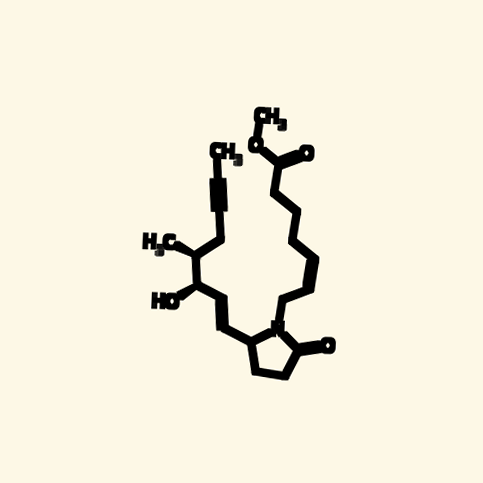 CC#CC[C@H](C)[C@H](O)/C=C/C1CCC(=O)N1C/C=C\CCCC(=O)OC